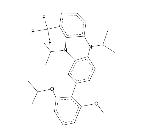 COc1cccc(OC(C)C)c1-c1ccc2c(c1)N(C(C)C)c1c(cccc1C(F)(F)F)N2C(C)C